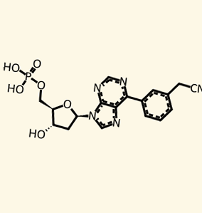 N#CCc1cccc(-c2ncnc3c2ncn3[C@H]2C[C@H](O)[C@@H](COP(=O)(O)O)O2)c1